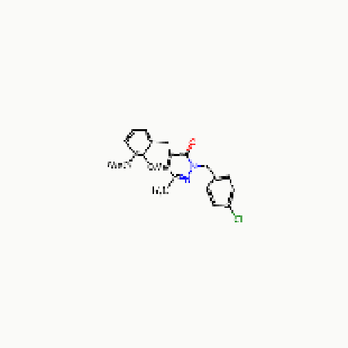 COc1cccc(Cc2cc(C)nn(Cc3ccc(Cl)cc3)c2=O)c1OC